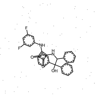 O=c1c(Nc2cc(F)cc(F)c2)c(NC(c2ccccc2)C(O)(c2ccccc2)c2ccccc2)c1=O